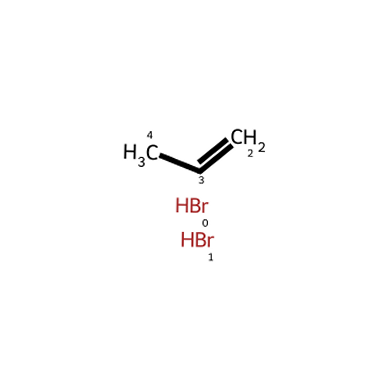 Br.Br.C=CC